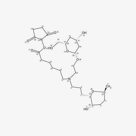 C[C@H]1CC[C@H](O)[C@H](CCCN(CCCCCC(=O)ON2C(=O)CCC2=O)CCO[C@H]2C[C@@H](O)C[C@@H](CO)O2)O1